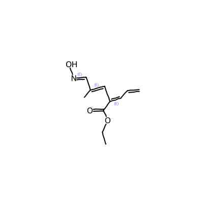 C=C\C=C(/C=C(C)/C=N/O)C(=O)OCC